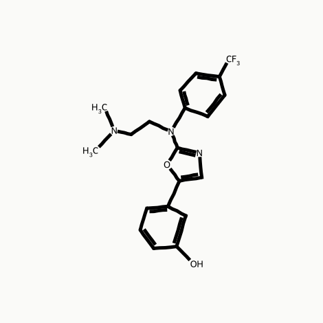 CN(C)CCN(c1ccc(C(F)(F)F)cc1)c1ncc(-c2cccc(O)c2)o1